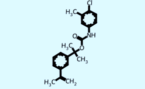 C=C(C)c1cccc(C(C)(C)OC(=O)Nc2ccc(Cl)c(C)c2)c1